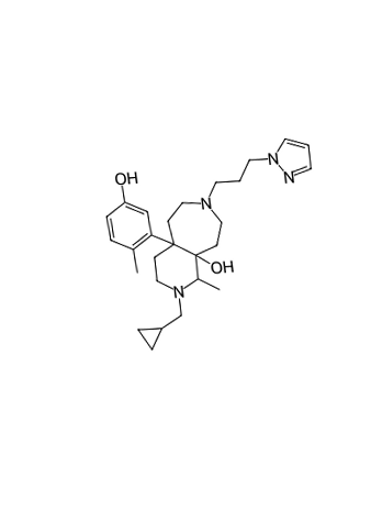 Cc1ccc(O)cc1C12CCN(CCCn3cccn3)CCC1(O)C(C)N(CC1CC1)CC2